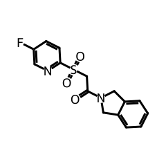 O=C(CS(=O)(=O)c1ccc(F)cn1)N1Cc2ccccc2C1